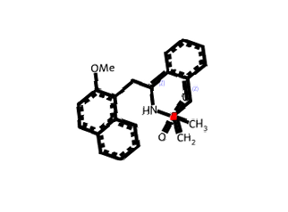 C=C/C=c1/cccc/c1=C(\Cc1c(OC)ccc2ccccc12)NS(C)(=O)=O